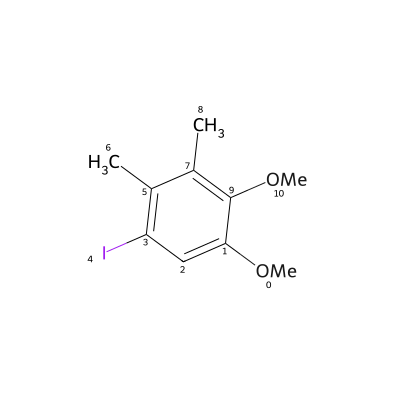 COc1cc(I)c(C)c(C)c1OC